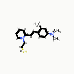 Cc1cc(N(C)C)ccc1/C=C/c1cccc[n+]1CCS